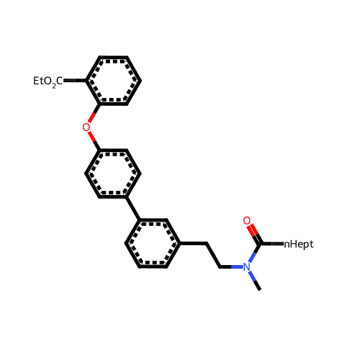 CCCCCCCC(=O)N(C)CCc1cccc(-c2ccc(Oc3ccccc3C(=O)OCC)cc2)c1